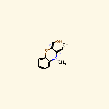 C/C=C1\C(=C/S)Sc2ccccc2N1C